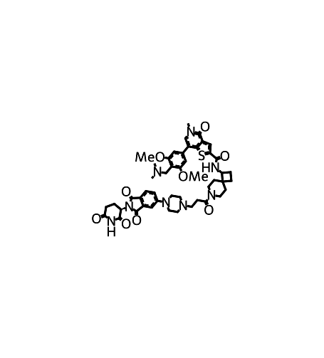 COc1cc(-c2cn(C)c(=O)c3cc(C(=O)NC4CCC45CCN(C(=O)CCN4CCN(c6ccc7c(c6)C(=O)N([C@@H]6CCC(=O)NC6=O)C7=O)CC4)CC5)sc23)cc(OC)c1CN(C)C